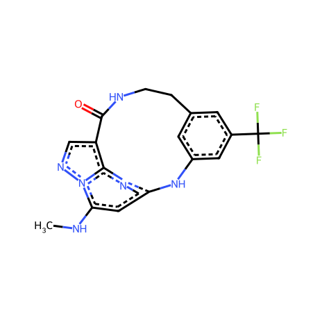 CNc1cc2nc3c(cnn13)C(=O)NCCc1cc(cc(C(F)(F)F)c1)N2